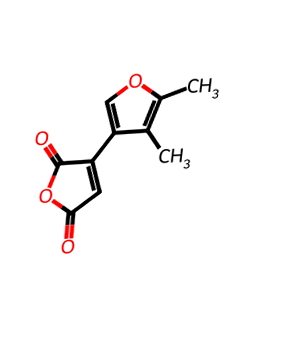 Cc1occ(C2=CC(=O)OC2=O)c1C